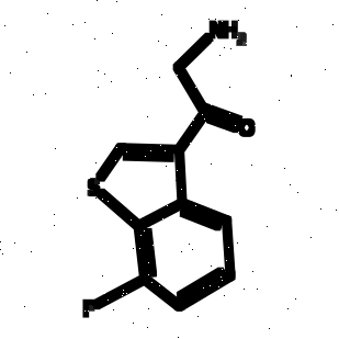 NCC(=O)c1csc2c(F)cccc12